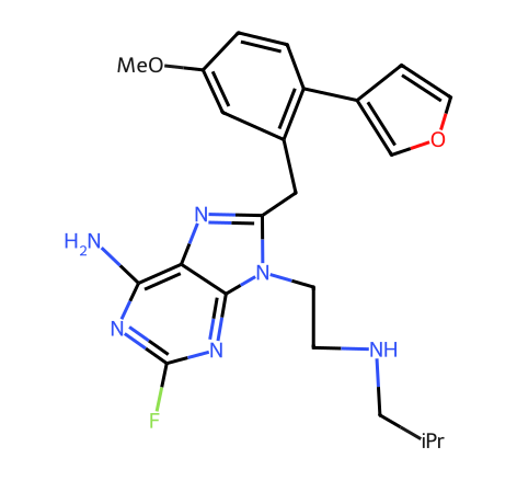 COc1ccc(-c2ccoc2)c(Cc2nc3c(N)nc(F)nc3n2CCNCC(C)C)c1